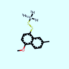 [1H][13C]([1H])([2H])SSc1ccc(OC)c2ccc(C)cc12